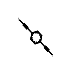 IC#Cc1ccc(C#CI)cc1